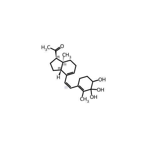 CC(=O)[C@@H]1CC[C@H]2C(/C=C\C3=C(C)C(O)(O)C(O)CC3)=CCC[C@]12C